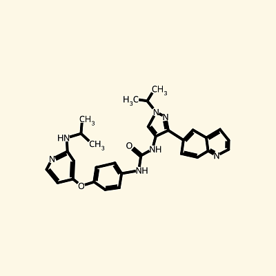 CC(C)Nc1cc(Oc2ccc(NC(=O)Nc3cn(C(C)C)nc3-c3ccc4ncccc4c3)cc2)ccn1